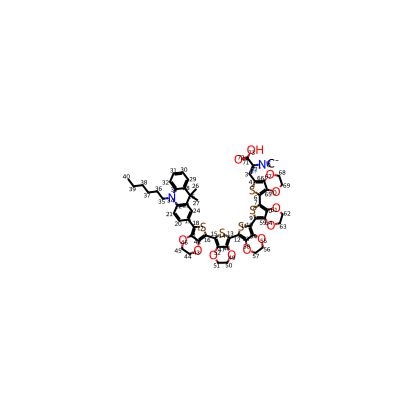 [C-]#[N+]/C(=C\c1sc(-c2sc(-c3sc(-c4sc(-c5sc(-c6ccc7c(c6)C(C)(C)c6ccccc6N7CCCCCC)c6c5OCCO6)c5c4OCCO5)c4c3OCCO4)c3c2OCCO3)c2c1OCCO2)C(=O)O